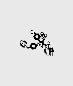 O=C(c1nn(-c2ccc(CN3CCOCC3)cc2)c2c1CS(=O)(=O)c1cc(Cl)ccc1-2)N1CCO[C@@H]2C=C[C@@H]21